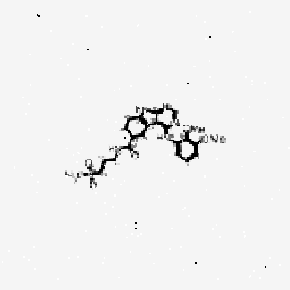 COc1cccc(Nc2ncnc3[nH]c4c(c23)CC(C(=O)NCCCS(C)(=O)=O)CC4)c1OC